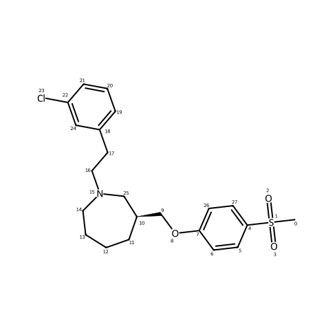 CS(=O)(=O)c1ccc(OC[C@H]2CCCCN(CCc3cccc(Cl)c3)C2)cc1